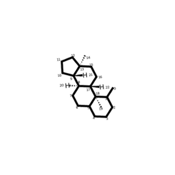 CC1CCCC2CC[C@H]3[C@@H]4CCC[C@@]4(C)CC[C@@H]3[C@@]12C